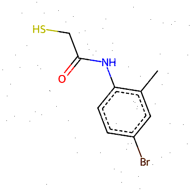 Cc1cc(Br)ccc1NC(=O)CS